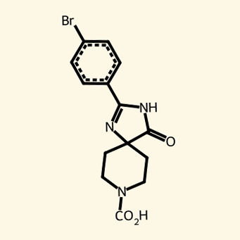 O=C(O)N1CCC2(CC1)N=C(c1ccc(Br)cc1)NC2=O